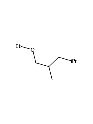 CCOC[C](C)CC(C)C